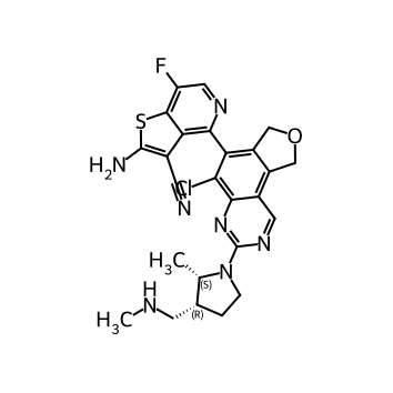 CNC[C@H]1CCN(c2ncc3c4c(c(-c5ncc(F)c6sc(N)c(C#N)c56)c(Cl)c3n2)COC4)[C@H]1C